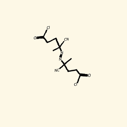 CC(C#N)(CCC(=O)Cl)N=NC(C)(C#N)CCC(=O)Cl